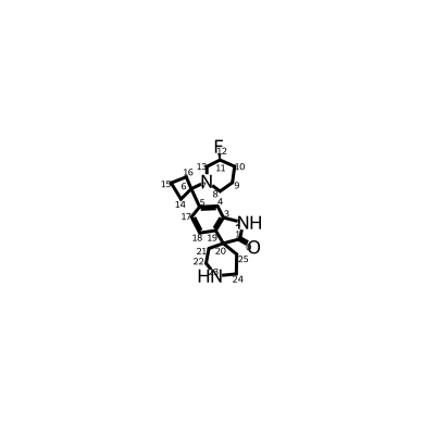 O=C1Nc2cc(C3(N4CCC[C@H](F)C4)CCC3)ccc2C12CCNCC2